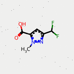 Cn1nc(C(F)F)cc1C(=O)O